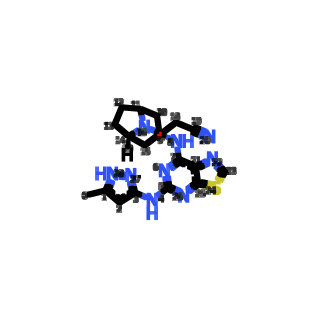 Cc1cc(Nc2nc(N[C@@H]3CC4CC[C@@H](C3)N4CCC#N)c3ncsc3n2)n[nH]1